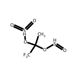 CC(O[SH]=O)(O[SH](=O)=O)C(F)(F)F